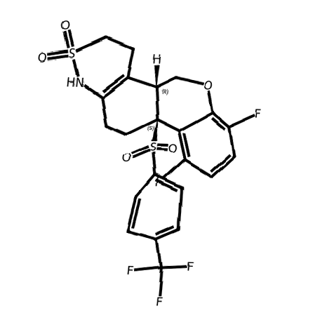 O=S1(=O)CCC2=C(CC[C@@]3(S(=O)(=O)c4ccc(C(F)(F)F)cc4)c4c(F)ccc(F)c4OC[C@@H]23)N1